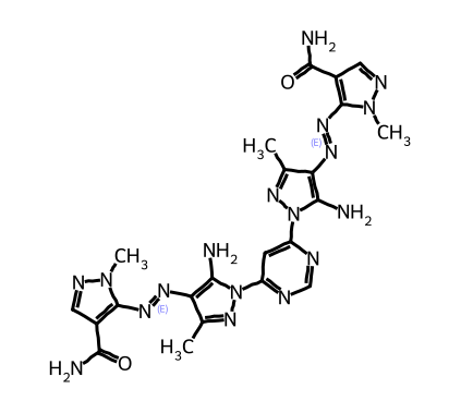 Cc1nn(-c2cc(-n3nc(C)c(/N=N/c4c(C(N)=O)cnn4C)c3N)ncn2)c(N)c1/N=N/c1c(C(N)=O)cnn1C